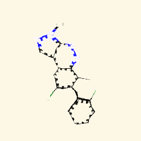 COc1c(-c2ccccc2Cl)c(F)cc2c1nnc1c2cnn1C